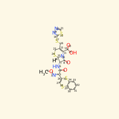 CO/N=C(\C(=O)NC1C(=O)N2C(C(=O)O)=C(CSc3nncs3)CS[C@H]12)C1=CSc2ccccc2S1